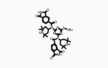 CCCCSc1nc(N(C(=O)c2ccc3c(c2)C(=O)NC3=O)C2CC(C)(C)NC(C)(C)C2)nc(N(C(=O)c2ccc3c(c2)C(=O)NC3=O)C2CC(C)(C)NC(C)(C)C2)n1